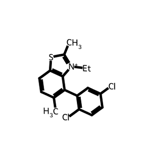 CC[n+]1c(C)sc2ccc(C)c(-c3cc(Cl)ccc3Cl)c21